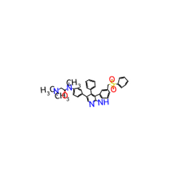 CN(C)CC(=O)N(C)c1ccc(-c2cnc3[nH]c4ccc(CS(=O)(=O)c5ccccc5)cc4c3c2-c2ccccc2)cc1